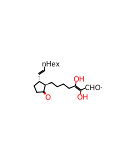 CCCCCC/C=C/[C@H]1CCC(=O)[C@@H]1CCCC/C(O)=C(\O)[C]=O